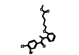 COC(=O)CCCCOc1ccccc1N(C)C(=O)c1ccc(Cl)c(Br)c1